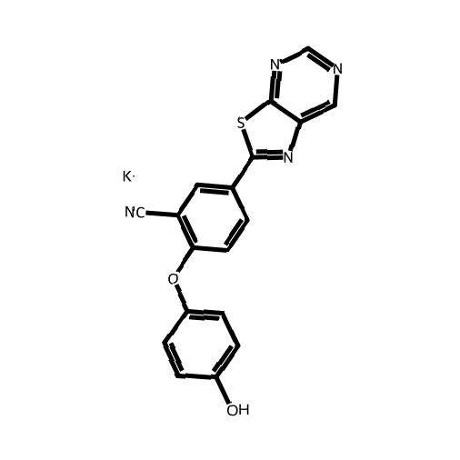 N#Cc1cc(-c2nc3cncnc3s2)ccc1Oc1ccc(O)cc1.[K]